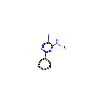 CNc1nc(-c2ccccc2)ncc1I